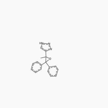 CC1(c2c[nH]nn2)OC1(c1ccccc1)c1ccccc1